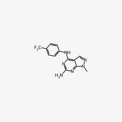 Cn1ncc2c(Nc3ccc(C(F)(F)F)cc3)nc(N)nc21